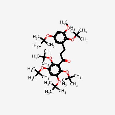 COc1cc(OC(C)(C)C)cc(CCC(=O)c2c(OC(C)(C)C)c(OC(C)(C)C)cc(OC(C)(C)C)c2OC(C)(C)C)c1OC(C)(C)C